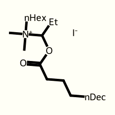 CCCCCCCCCCCCCC(=O)OC(CC)[N+](C)(C)CCCCCC.[I-]